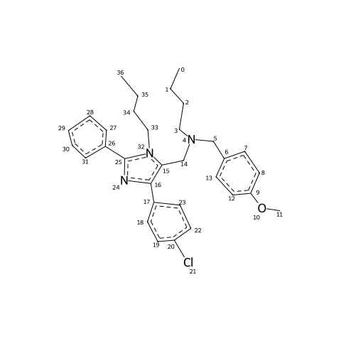 CCCCN(Cc1ccc(OC)cc1)Cc1c(-c2ccc(Cl)cc2)nc(-c2ccccc2)n1CCCC